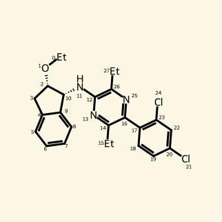 CCO[C@H]1Cc2ccccc2[C@H]1Nc1nc(CC)c(-c2ccc(Cl)cc2Cl)nc1CC